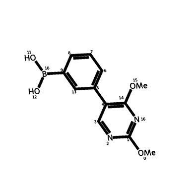 COc1ncc(-c2cccc(B(O)O)c2)c(OC)n1